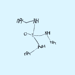 CCC[NH][Ti]([Cl])([NH]CCC)[NH]CCC